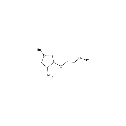 CCC(C)N1CC(N)C(OCCOC(C)C)C1